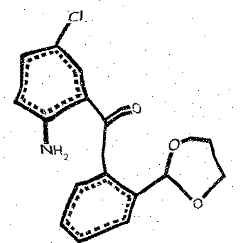 Nc1ccc(Cl)cc1C(=O)c1ccccc1C1OCCO1